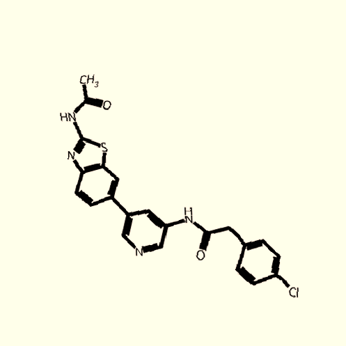 CC(=O)Nc1nc2ccc(-c3cncc(NC(=O)Cc4ccc(Cl)cc4)c3)cc2s1